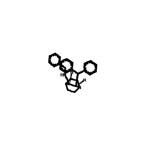 c1ccc(CN[C@@H]2C3CCN(CC3)[C@@H]2C(c2ccccc2)c2ccccc2)cc1